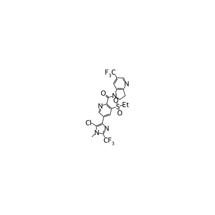 CCS(=O)(=O)c1cc(-c2nc(C(F)(F)F)n(C)c2Cl)cnc1C(=O)N1CCc2ncc(C(F)(F)F)cc21